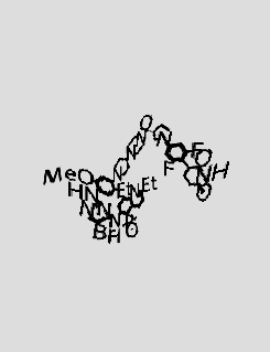 CCc1ccc2c(P(C)(C)=O)c(Nc3nc(Nc4cc(CC)c(N5CCC(N6CCN(C(=O)[C@@H]7CCN(c8cc(F)c(C9CCC(=O)NC9=O)c(F)c8)C7)CC6)CC5)cc4OC)ncc3Br)ccc2n1